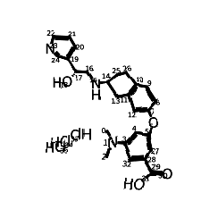 CN(C)c1cc(Oc2ccc3c(c2)C[C@@H](NC[C@H](O)c2cccnc2)CC3)cc(C(=O)O)c1.Cl.Cl.Cl